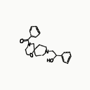 O=C(c1ccccc1)N1CCOC2(CCN(CC(O)c3ccccc3)CC2)C1